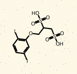 O=S(=O)(O)CC(COc1cc(I)ccc1I)S(=O)(=O)O